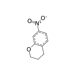 O=[N+]([O-])c1ccc2c(c1)OCCC2